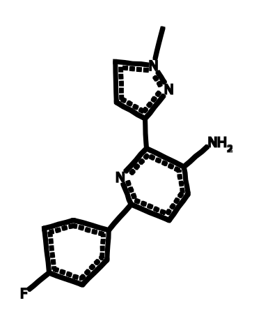 Cn1ccc(-c2nc(-c3ccc(F)cc3)ccc2N)n1